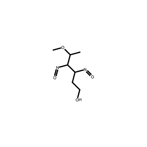 COC(C)C(N=O)C(CCO)N=O